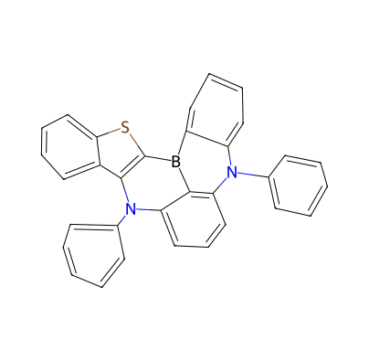 c1ccc(N2c3ccccc3B3c4sc5ccccc5c4N(c4ccccc4)c4cccc2c43)cc1